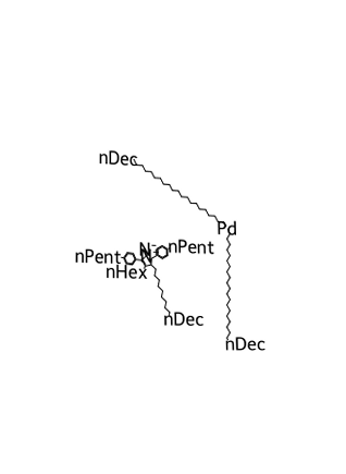 CCCCCCCCCCCCCCCCCCCC1=C(c2ccc(CCCCC)cc2)[N+](=[N-])C(c2ccc(CCCCC)cc2)=C1CCCCCC.CCCCCCCCCCCCCCCCCCCCCCCCCCCCC[CH2][Pd][CH2]CCCCCCCCCCCCCCCCCCCCCCCCCCCCC